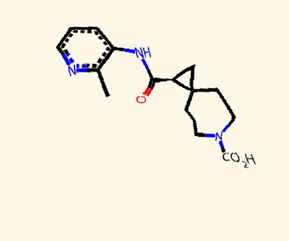 Cc1ncccc1NC(=O)[C@H]1CC12CCN(C(=O)O)CC2